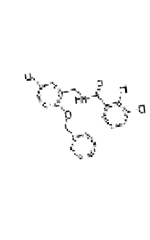 O=C(NCc1cc(Cl)ccc1OCc1ccccc1)c1cccc(Cl)c1Cl